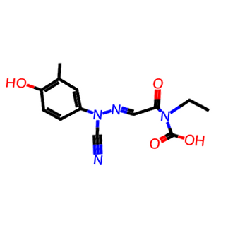 CCN(C(=O)O)C(=O)C=NN(C#N)c1ccc(O)c(C)c1